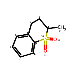 CC1CCc2ccccc2S1(=O)=O